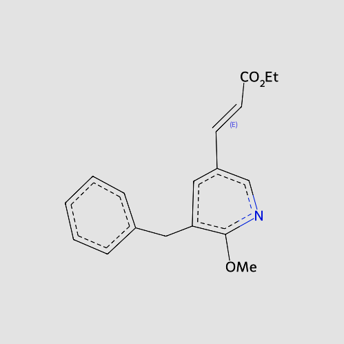 CCOC(=O)/C=C/c1cnc(OC)c(Cc2ccccc2)c1